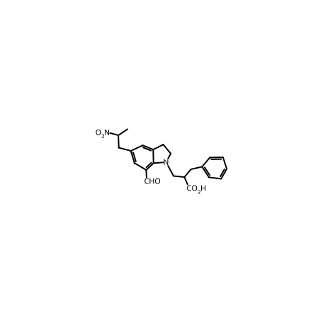 CC(Cc1cc(C=O)c2c(c1)CCN2CC(Cc1ccccc1)C(=O)O)[N+](=O)[O-]